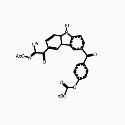 CCCCC(=O)Oc1ccc(C(=O)c2ccc3c(c2)C2C=C(C(=O)/C(CCC)=N/OC(C)=O)C=CC2N3CC)cc1